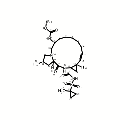 CC(C)(C)OC(=O)N[C@H]1CCCCC/C=C\[C@@H]2C[C@@]2(C(=O)NS(=O)(=O)C2(C)CC2)NC(=O)[C@@H]2C[C@@H](O)CN2C1